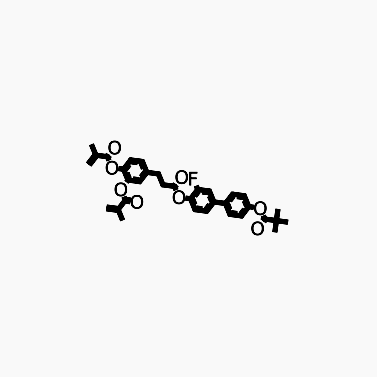 C=C(C)C(=O)Oc1ccc(CCC(=O)Oc2ccc(-c3ccc(OC(=O)C(C)(C)C)cc3)cc2F)cc1OC(=O)C(=C)C